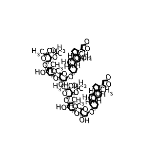 CC(=O)O[C@H]1C[C@H](O[C@H]2[C@@H](O)C[C@H](O[C@H]3[C@@H](O)C[C@H](O[C@H]4CC[C@@]5(C)[C@H](CC[C@@H]6[C@@H]5CC[C@]5(C)[C@@H](C7=CC(=O)OC7)CC[C@]65O)C4)O[C@@H]3C)O[C@@H]2C)O[C@H](C)[C@H]1O.CC(=O)O[C@H]1C[C@H](O[C@H]2[C@@H](O)C[C@H](O[C@H]3[C@@H](O)C[C@H](O[C@H]4CC[C@@]5(C)[C@H](CC[C@@H]6[C@@H]5C[C@@H](O)[C@]5(C)[C@@H](C7=CC(=O)OC7)CC[C@]65O)C4)O[C@@H]3C)O[C@@H]2C)O[C@H](C)[C@H]1O